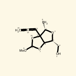 B[C@@H]1O[C@H](CO)C2OC(OC)OC21C=C=C